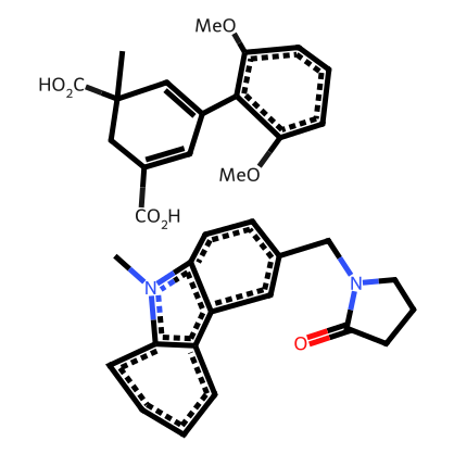 COc1cccc(OC)c1C1=CC(C)(C(=O)O)CC(C(=O)O)=C1.Cn1c2ccccc2c2cc(CN3CCCC3=O)ccc21